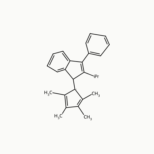 CC1=C(C)C(C)=C(C)[C]1C1C(C(C)C)=C(c2ccccc2)c2ccccc21